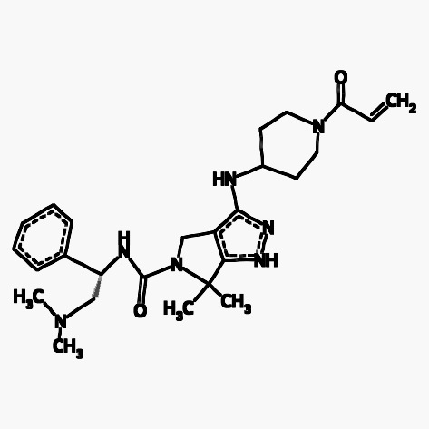 C=CC(=O)N1CCC(Nc2n[nH]c3c2CN(C(=O)N[C@H](CN(C)C)c2ccccc2)C3(C)C)CC1